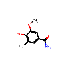 COc1cc(C(N)=O)cc(C)c1O